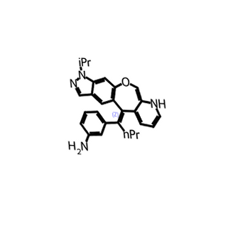 CCC/C(=C1\C2=CC=CNC2=COc2cc3c(cnn3C(C)C)cc21)c1cccc(N)c1